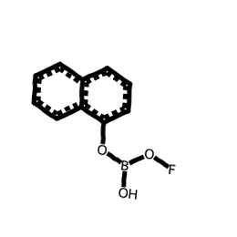 OB(OF)Oc1cccc2ccccc12